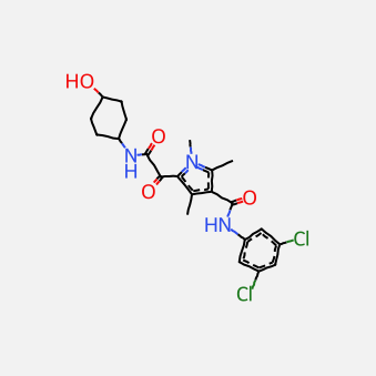 Cc1c(C(=O)Nc2cc(Cl)cc(Cl)c2)c(C)n(C)c1C(=O)C(=O)NC1CCC(O)CC1